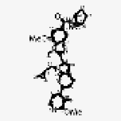 COc1nccc(-c2ccc3cc(-c4nc5cc(C(=O)N6CC7CCC6C7N)cc(OC)c5n4C)n(CC4CC4)c3n2)c1C